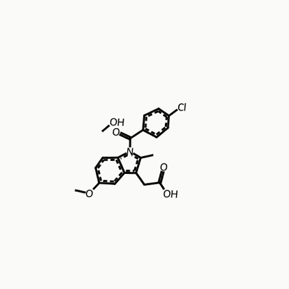 CO.COc1ccc2c(c1)c(CC(=O)O)c(C)n2C(=O)c1ccc(Cl)cc1